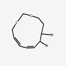 BrC1C=CC=CCCCCCCC1Br